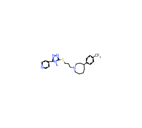 Cn1c(SCCCN2CCCCC(c3ccc(C(F)(F)F)cc3)CC2)nnc1-c1ccncc1